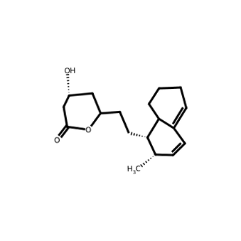 C[C@H]1C=CC2=CCCCC2[C@H]1CCC1C[C@@H](O)CC(=O)O1